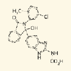 Cc1ccc(Cl)cc1N1C(=O)c2ccccc2C1(O)c1ccc2[nH]c(NC(=O)O)nc2c1